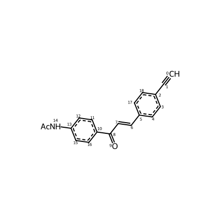 C#Cc1ccc(/C=C/C(=O)c2ccc(NC(C)=O)cc2)cc1